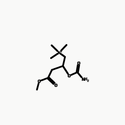 COC(=O)CC(C[N+](C)(C)C)OC(N)=O